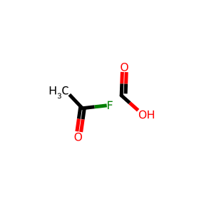 CC(=O)F.O=CO